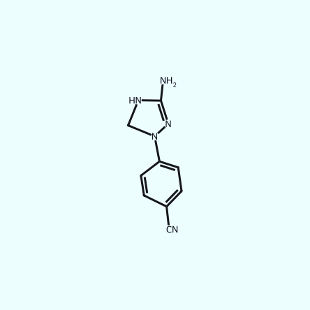 N#Cc1ccc(N2CNC(N)=N2)cc1